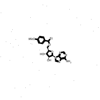 CCC(OC[C@H]1O[C@@H](n2cnc3c(N)ncnc32)[C@H](O)[C@@H]1O)c1ccc(OC)cc1